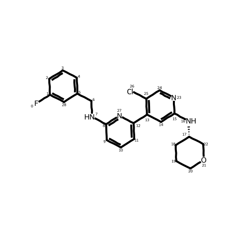 Fc1cccc(CNc2cccc(-c3cc(N[C@H]4CCCOC4)ncc3Cl)n2)c1